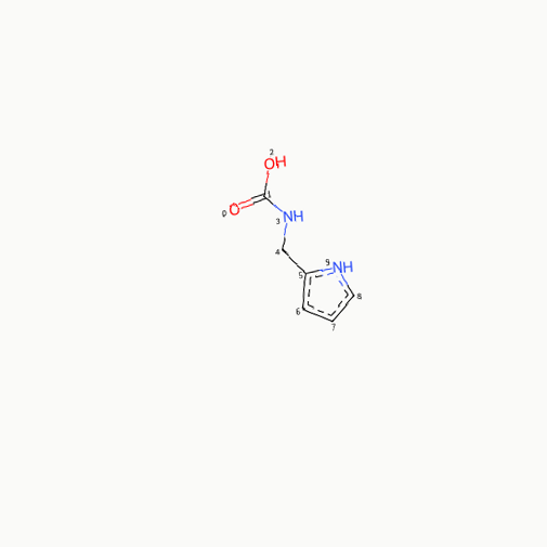 O=C(O)NCc1ccc[nH]1